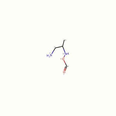 CC(CN)NOC=O